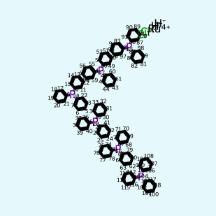 [Cl-].[Cl-].[H-].[H-].[Ru+4].c1ccc(P(c2ccccc2)c2ccccc2)cc1.c1ccc(P(c2ccccc2)c2ccccc2)cc1.c1ccc(P(c2ccccc2)c2ccccc2)cc1.c1ccc(P(c2ccccc2)c2ccccc2)cc1.c1ccc(P(c2ccccc2)c2ccccc2)cc1.c1ccc(P(c2ccccc2)c2ccccc2)cc1